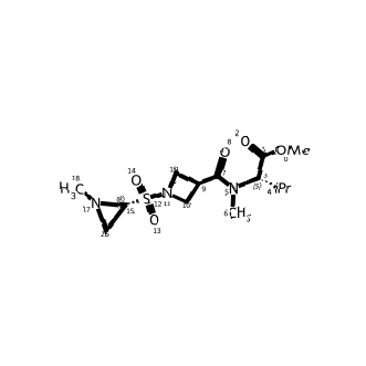 COC(=O)[C@H](C(C)C)N(C)C(=O)C1CN(S(=O)(=O)[C@@H]2CN2C)C1